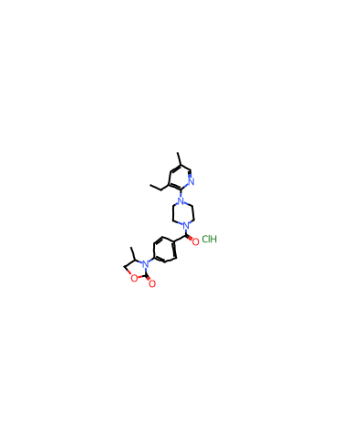 CCc1cc(C)cnc1N1CCN(C(=O)c2ccc(N3C(=O)OCC3C)cc2)CC1.Cl